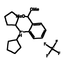 COC(OC)c1ccccc1[PH+](C1CCCC1)C1CCCC1.F[B-](F)(F)F